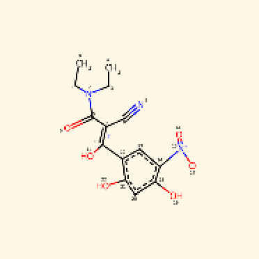 CCN(CC)C(=O)/C(C#N)=C(\O)c1cc([N+](=O)[O-])c(O)cc1O